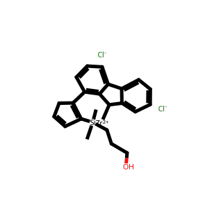 C[Si](C)(CCCO)C1=C(c2cccc3c2[CH]([Zr+2])c2ccccc2-3)CC=C1.[Cl-].[Cl-]